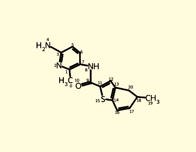 Cc1nc(N)ccc1NC(=O)c1cc2c(s1)C=CC(C)C2